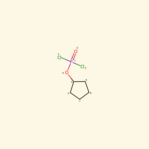 O=P(Cl)(Cl)OC1CCCC1